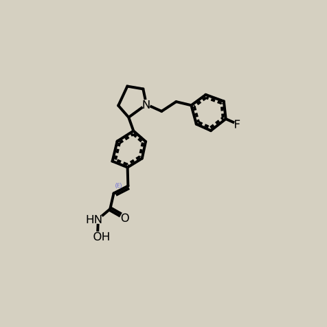 O=C(/C=C/c1ccc(C2CCCN2CCc2ccc(F)cc2)cc1)NO